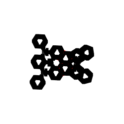 c1ccc(N2c3cccc(-c4cccc5c4c4ccccc4n5-c4ccccc4)c3B3c4c(-c5cccc6c5c5ccccc5n6-c5ccccc5)cccc4N(c4ccccc4)c4cccc2c43)cc1